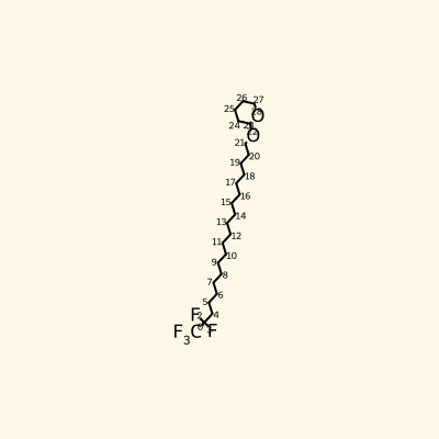 FC(F)(F)C(F)(F)CCCCCCCCCCCCCCCCCCOC1CCCCO1